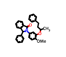 COc1ccc(N2C(=O)c3ccccc3C2c2ccccc2)cc1OC(C)CCc1ccccc1